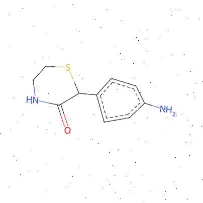 Nc1ccc(C2SCCNC2=O)cc1